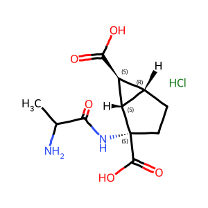 CC(N)C(=O)N[C@@]1(C(=O)O)CC[C@H]2[C@H](C(=O)O)[C@H]21.Cl